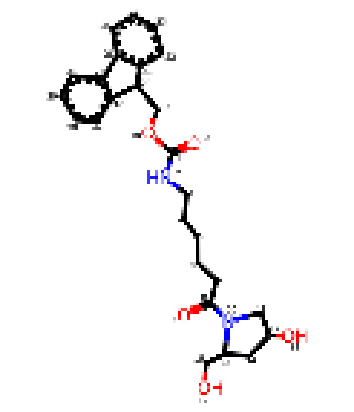 O=C(NCCCCCC(=O)N1CC(O)CC1CO)OCC1c2ccccc2-c2ccccc21